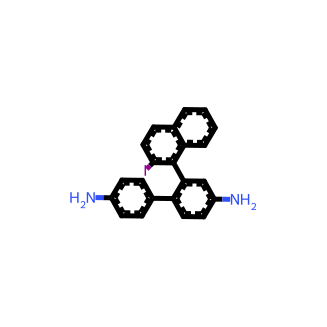 Nc1ccc(-c2ccc(N)cc2-c2c(I)ccc3ccccc23)cc1